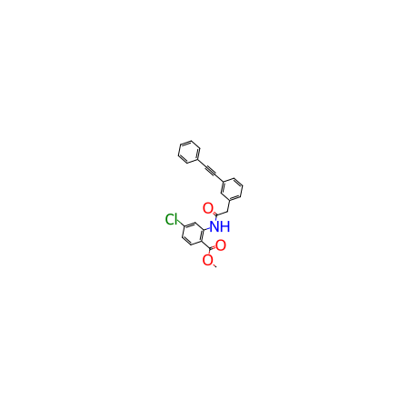 COC(=O)c1ccc(Cl)cc1NC(=O)Cc1cccc(C#Cc2ccccc2)c1